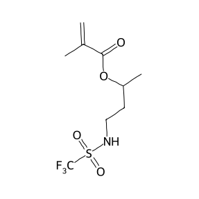 C=C(C)C(=O)OC(C)CCNS(=O)(=O)C(F)(F)F